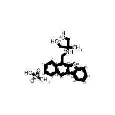 CC(CO)(CO)NCc1c2ccccc2cc2c1sc1ccccc12.CS(=O)(=O)O